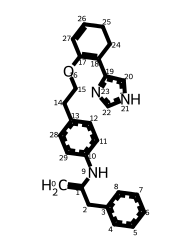 C=C(Cc1ccccc1)Nc1ccc(CCOC2=C(c3c[nH]cn3)CCC=C2)cc1